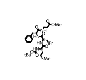 COC(=O)CCNC(=O)[C@H](Cc1ccccc1)NC(=O)[C@H](CC(C)C)NC(=O)[C@H](CCSC)NC(=O)OC(C)(C)C